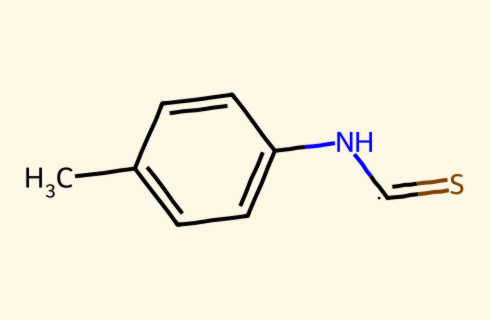 Cc1ccc(N[C]=S)cc1